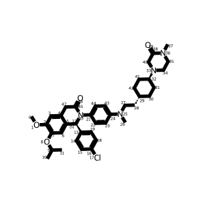 COc1cc2c(cc1OC(C)C)[C@H](c1ccc(Cl)cc1)N(c1ccc(N(C)CC[C@H]3CC[C@H](N4CCN(C)C(=O)C4)CC3)cc1)C(=O)C2